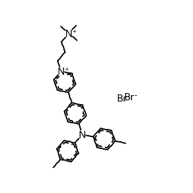 Cc1ccc(N(c2ccc(C)cc2)c2ccc(-c3cc[n+](CCC[N+](C)(C)C)cc3)cc2)cc1.[Br-].[Br-]